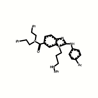 CCCNCCCn1c(Nc2ccc(C(C)=O)cc2)nc2ccc(C(=O)N(CCC(C)C)CCC(C)C)cc21